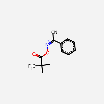 CC(C)(C(=O)O/N=C(/C#N)c1ccccc1)C(F)(F)F